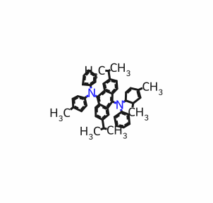 CC1=CC(C)C(N(c2ccccc2)c2c3ccc(C(C)C)cc3c(N(c3ccccc3)c3ccc(C)cc3)c3ccc(C(C)C)cc23)C=C1